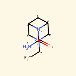 NC(=O)N1C2CC1CN(CC(F)(F)F)C2